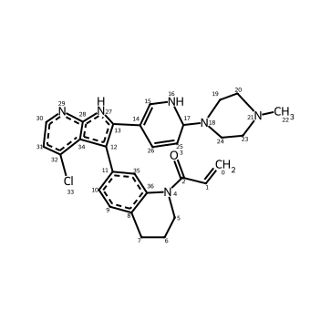 C=CC(=O)N1CCCc2ccc(-c3c(C4=CNC(N5CCN(C)CC5)C=C4)[nH]c4nccc(Cl)c34)cc21